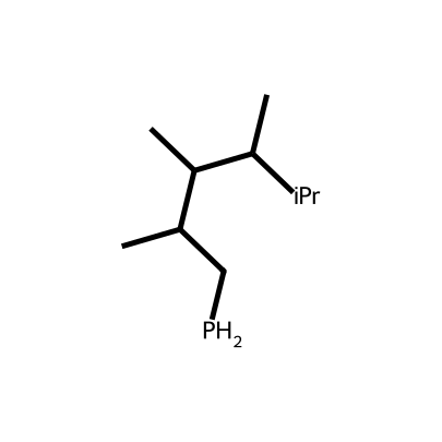 CC(C)C(C)C(C)C(C)CP